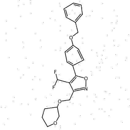 FC(F)c1c(COC2CCCOC2)noc1-c1ccc(OCc2ccccc2)cc1